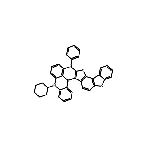 c1ccc(N2c3cccc4c3B(c3ccccc3N4C3CCCCC3)c3c2oc2c3ccc3sc4ccccc4c32)cc1